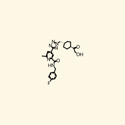 Cc1cc(-c2nnn(C[C@H]3CC[C@H](C(=O)CO)CC3)n2)cc(C(=O)NCc2ccc(F)cc2)n1